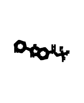 FC(F)(F)CNc1ccc2nc(-c3cccnc3)sc2c1